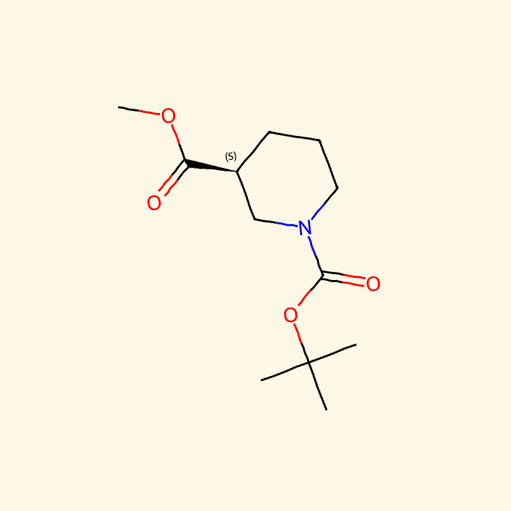 COC(=O)[C@H]1CCCN(C(=O)OC(C)(C)C)C1